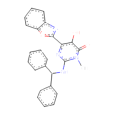 Cn1c(NC(c2ccccc2)c2ccccc2)nc(-c2nc3ccccc3o2)c(O)c1=O